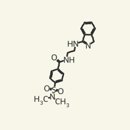 CN(C)S(=O)(=O)c1ccc(C(=O)NCCNC2=NCc3ccccc32)cc1